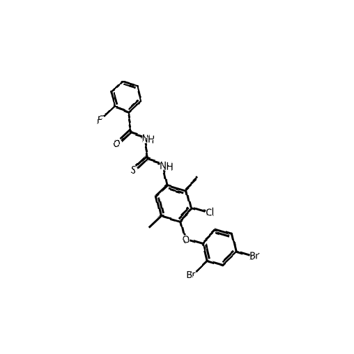 Cc1cc(NC(=S)NC(=O)c2ccccc2F)c(C)c(Cl)c1Oc1ccc(Br)cc1Br